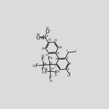 CCc1[c]c(I)cc(C(F)(C(F)(F)F)C(F)(F)F)c1-c1ccc([N+](=O)[O-])cc1